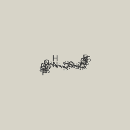 O=C(CCNCCCc1ccc(OCCCc2cccc(OC(F)(F)F)c2)cc1)OC(=O)C(F)(F)F